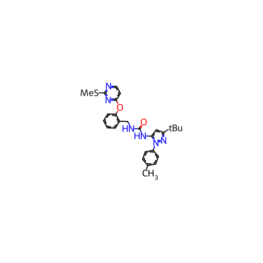 CSc1nccc(Oc2ccccc2CNC(=O)Nc2cc(C(C)(C)C)nn2-c2ccc(C)cc2)n1